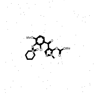 COC(=O)Oc1c(C(=O)c2ccc(OC)c(N=S3(=O)CCCCC3)c2Cl)cnn1C